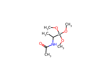 CO[Si](OC)(OC)C(C)NC(C)=O